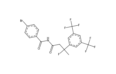 CC(F)(CC(=O)NC(=O)c1ccc(Br)cc1)c1cc(C(F)(F)F)cc(C(F)(F)F)c1